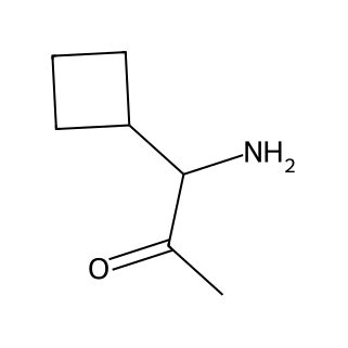 CC(=O)C(N)C1CCC1